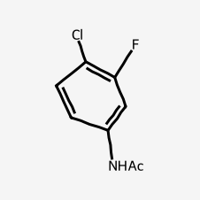 CC(=O)Nc1ccc(Cl)c(F)c1